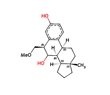 COC[C@H]1c2cc(O)ccc2[C@H]2CC[C@]3(C)CCC[C@H]3[C@H]2C1O